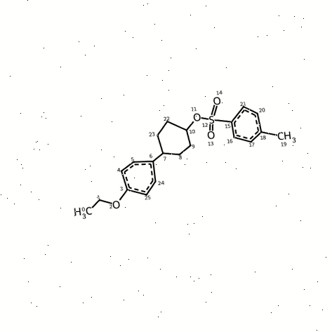 CCOc1ccc(C2CCC(OS(=O)(=O)c3ccc(C)cc3)CC2)cc1